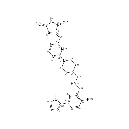 O=C1NC(=O)/C(=C/c2ccnc(N3CCC(CNCc4nc(-c5ccco5)ccc4F)CC3)n2)S1